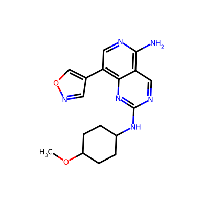 COC1CCC(Nc2ncc3c(N)ncc(-c4cnoc4)c3n2)CC1